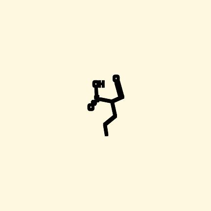 CCCC(C=O)S(=O)O